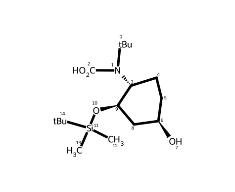 CC(C)(C)N(C(=O)O)[C@@H]1CC[C@@H](O)C[C@H]1O[Si](C)(C)C(C)(C)C